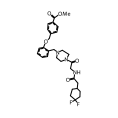 COC(=O)c1ccc(COc2ccccc2CN2CCN(C(=O)CNC(=O)CC3CCC(F)(F)CC3)CC2)cc1